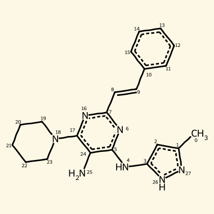 Cc1cc(Nc2nc(C=Cc3ccccc3)nc(N3CCCCC3)c2N)[nH]n1